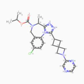 CC(C)OC(=O)N1Cc2cc(Cl)ccc2-n2c(C3CC4(C3)CN(c3cnccn3)C4)nnc2C1C